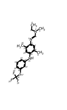 CCN(C)C=Nc1cc(C)c(Nc2cccc(SC(F)(F)F)c2)cc1C